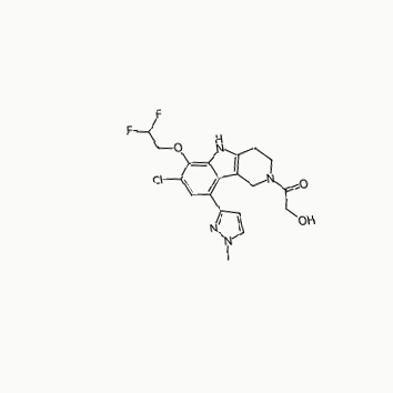 Cn1ccc(-c2cc(Cl)c(OCC(F)F)c3[nH]c4c(c23)CN(C(=O)CO)CC4)n1